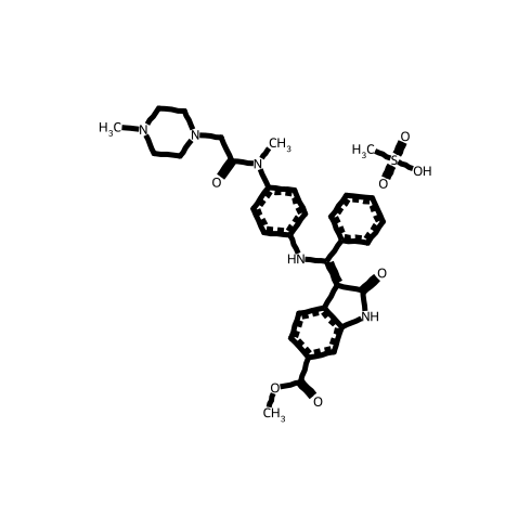 COC(=O)c1ccc2c(c1)NC(=O)C2=C(Nc1ccc(N(C)C(=O)CN2CCN(C)CC2)cc1)c1ccccc1.CS(=O)(=O)O